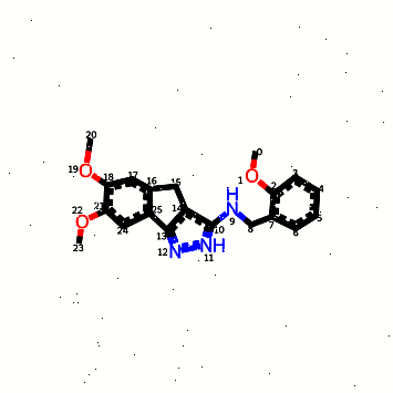 COc1ccccc1CNc1[nH]nc2c1Cc1cc(OC)c(OC)cc1-2